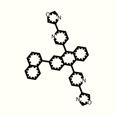 c1ccc2c(-c3ccc4c(-c5ccc(-c6cocn6)nc5)c5ccccc5c(-c5ccc(-c6cocn6)nc5)c4c3)cccc2c1